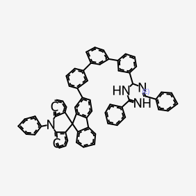 N=C(NC(/N=C/c1ccccc1)c1cccc(-c2cccc(-c3cccc(-c4ccc5c(c4)C4(c6ccccc6-5)c5ccccc5N(c5ccccc5)c5ccccc54)c3)c2)c1)c1ccccc1